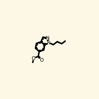 CCCCn1ncc2ccc(C(=O)OC)cc21